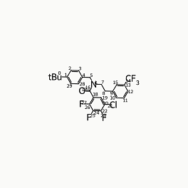 CC(C)(C)c1ccc(CN(CCc2cccc(C(F)(F)F)c2)C(=O)c2cc(Cl)c(F)c(F)c2F)cc1